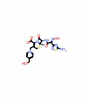 Nc1nc(C(=NO)C(=O)N[C@@H]2C(=O)N3C(C(=O)[O-])=C(C[n+]4ccc(CO)cc4)CS[C@@H]23)ns1